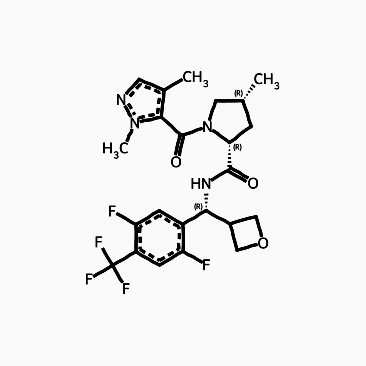 Cc1cnn(C)c1C(=O)N1C[C@H](C)C[C@@H]1C(=O)N[C@@H](c1cc(F)c(C(F)(F)F)cc1F)C1COC1